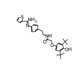 CC(C)(C)c1cc(OCC(=O)NCCc2ccc(/N=C(\N)c3cccs3)cc2)cc(C(C)(C)C)c1O